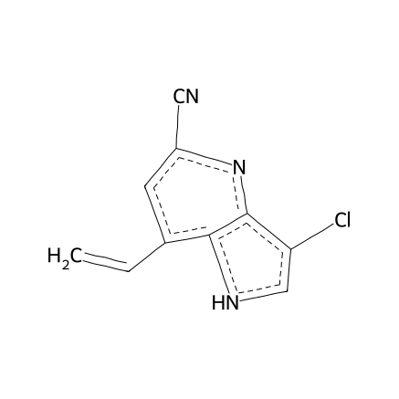 C=Cc1cc(C#N)nc2c(Cl)c[nH]c12